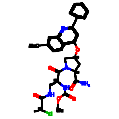 COc1ccc2c(O[C@@H]3C[C@@H](C(N)=O)N(C(=O)[C@H](CNC(=O)[C@@H](C)Cl)NC(=O)OC(C)(C)C)C3)cc(-c3ccccc3)nc2c1